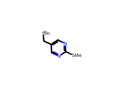 CSc1ncc(CC(C)(C)C)cn1